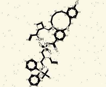 C=CC[C@H](CO[Si](c1ccccc1)(c1ccccc1)C(C)(C)C)CS(=O)(=O)NC(=O)c1ccc2c(c1)N(C[C@@H]1CC[C@H]1[C@@H](O)C=C)CCCCc1cc(Cl)ccc1CO2